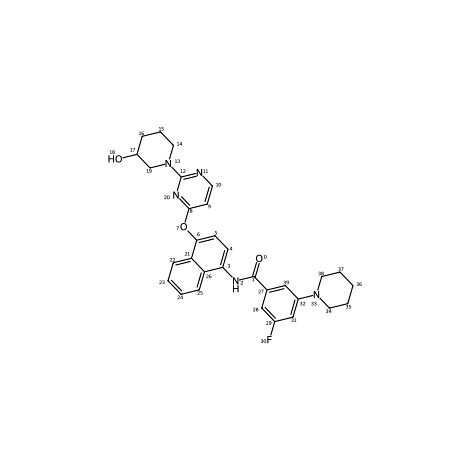 O=C(Nc1ccc(Oc2ccnc(N3CCCC(O)C3)n2)c2ccccc12)c1cc(F)cc(N2CCCCC2)c1